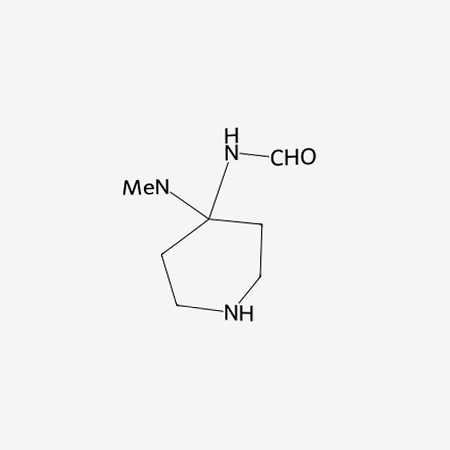 CNC1(NC=O)CCNCC1